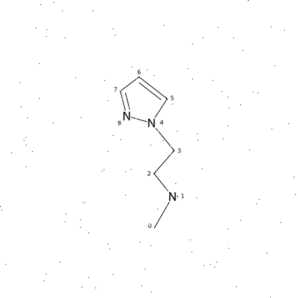 C[N]CCn1cccn1